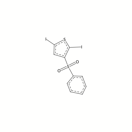 O=S(=O)(c1ccccc1)c1cc(I)sc1I